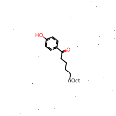 CCCCCCCCCCCCC(=O)c1ccc(O)cc1